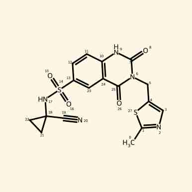 Cc1ncc(Cn2c(=O)[nH]c3ccc(S(=O)(=O)NC4(C#N)CC4)cc3c2=O)s1